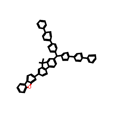 CC1(C)c2cc(-c3ccc4c(c3)oc3ccccc34)ccc2-c2ccc(C(c3ccc(-c4ccc(-c5ccccc5)cc4)cc3)c3ccc(-c4ccc(-c5ccccc5)cc4)cc3)cc21